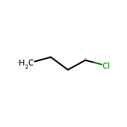 [CH2]CC[CH]Cl